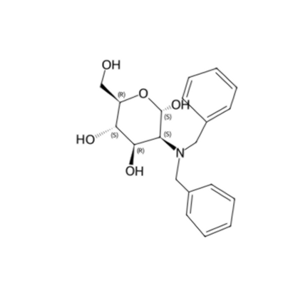 OC[C@H]1O[C@H](O)[C@@H](N(Cc2ccccc2)Cc2ccccc2)[C@@H](O)[C@@H]1O